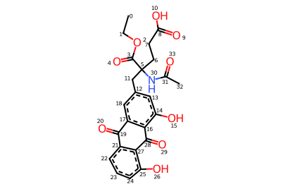 CCOC(=O)C(CCC(=O)O)(Cc1cc(O)c2c(c1)C(=O)c1cccc(O)c1C2=O)NC(C)=O